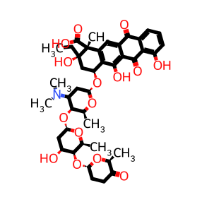 CC[C@@]1(O)C[C@H](O[C@H]2CC(N(C)C)[C@H](O[C@H]3C[C@H](O)[C@H](O[C@H]4CCC(=O)[C@H](C)O4)[C@H](C)O3)[C@H](C)O2)c2c(cc3c(c2O)C(=O)c2c(O)cccc2C3=O)[C@@]1(C)C(=O)O